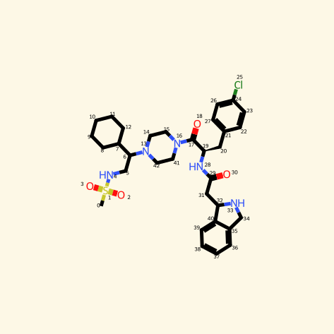 CS(=O)(=O)NCC(C1CCCCC1)N1CCN(C(=O)[C@@H](Cc2ccc(Cl)cc2)NC(=O)CC2NCc3ccccc32)CC1